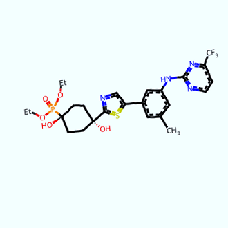 CCOP(=O)(OCC)[C@]1(O)CC[C@@](O)(c2ncc(-c3cc(C)cc(Nc4nccc(C(F)(F)F)n4)c3)s2)CC1